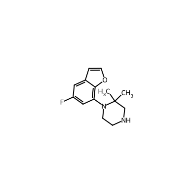 CC1(C)CNCCN1c1cc(F)cc2ccoc12